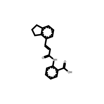 O=C(/C=C/c1cccc2c1CCC2)Nc1ccccc1C(=O)O